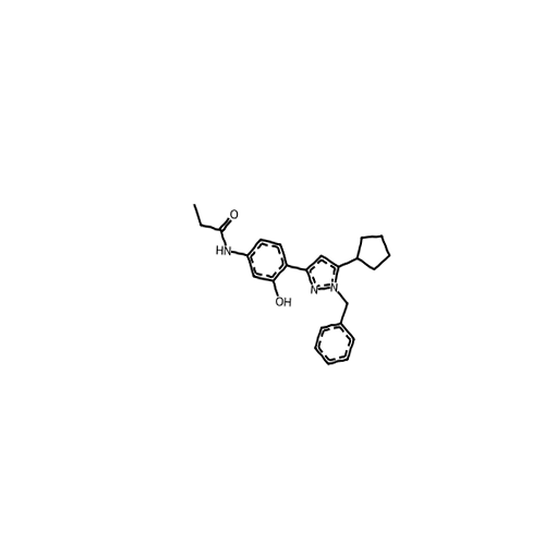 CCC(=O)Nc1ccc(-c2cc(C3CCCC3)n(Cc3ccccc3)n2)c(O)c1